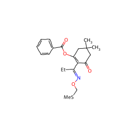 CCC(=NOCSC)C1=C(OC(=O)c2ccccc2)CC(C)(C)CC1=O